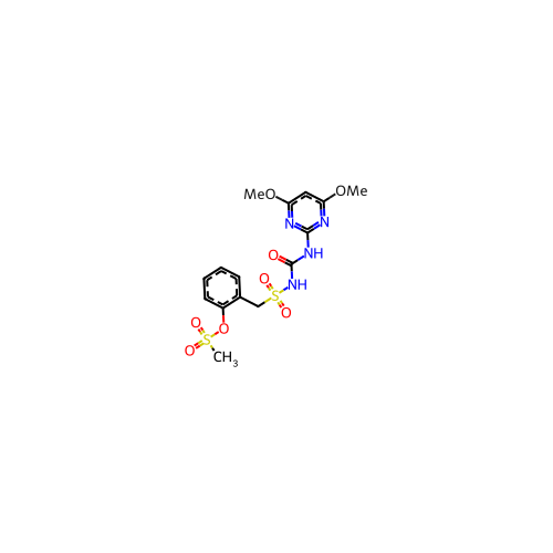 COc1cc(OC)nc(NC(=O)NS(=O)(=O)Cc2ccccc2OS(C)(=O)=O)n1